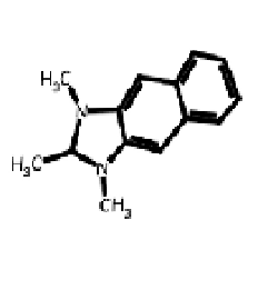 CC1N(C)c2cc3ccccc3cc2N1C